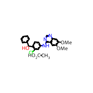 CC(=O)O.COc1cc2ncnc(Nc3ccc(C(O)c4ccccc4)c(Cl)c3)c2cc1OC